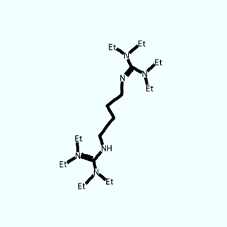 CCN(CC)C(=NCCCCNC(N(CC)CC)=[N+](CC)CC)N(CC)CC